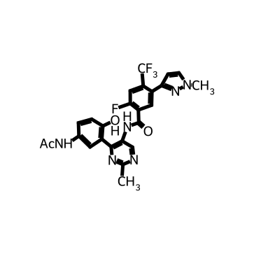 CC(=O)Nc1ccc(O)c(-c2nc(C)ncc2NC(=O)c2cc(-c3ccn(C)n3)c(C(F)(F)F)cc2F)c1